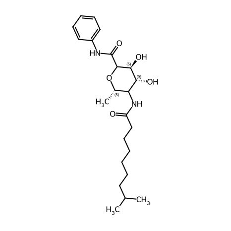 CC(C)CCCCCCC(=O)NC1[C@H](C)OC(C(=O)Nc2ccccc2)[C@@H](O)[C@@H]1O